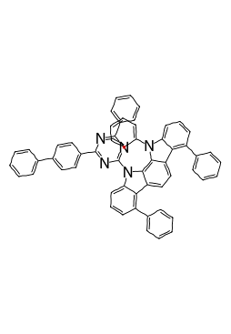 c1ccc(-c2ccc(-c3nc(-c4ccccc4)nc(-n4c5cccc(-c6ccccc6)c5c5ccc6c7c(-c8ccccc8)cccc7n(-c7ccccc7)c6c54)n3)cc2)cc1